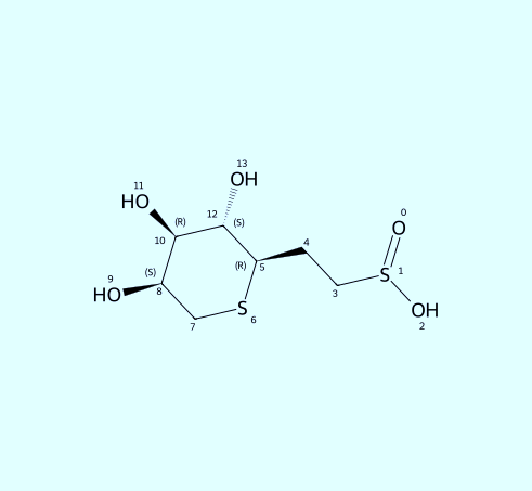 O=S(O)CC[C@H]1SC[C@@H](O)[C@@H](O)[C@@H]1O